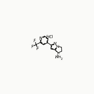 Cl.N[C@H]1CCn2nc(-c3ccnc(C(F)(F)F)c3)cc21